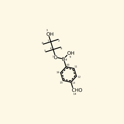 CC(C)(O)C(C)(C)OB(O)c1ccc(C=O)cc1